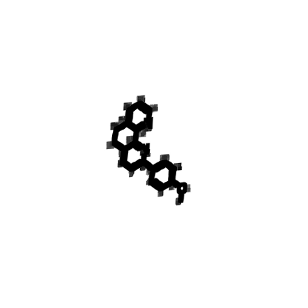 COc1ccc(-c2ccc3c(n2)-c2ncccc2CC3)cc1